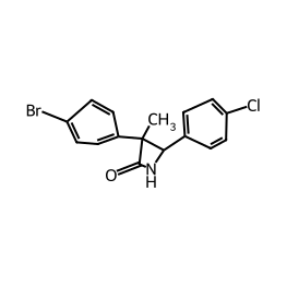 CC1(c2ccc(Br)cc2)C(=O)NC1c1ccc(Cl)cc1